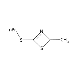 CCCSC1=NC(C)S1